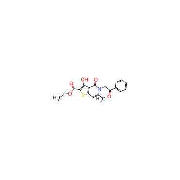 CCOC(=O)c1sc2cc(C)n(CC(=O)c3ccccc3)c(=O)c2c1O